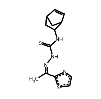 CC(=NNC(=S)NC1CC2C=CC1C2)c1nccs1